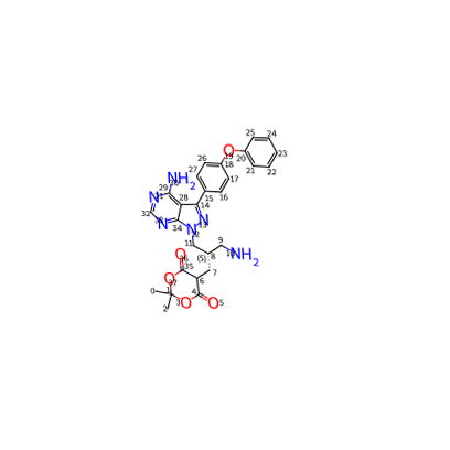 CC1(C)OC(=O)C(C[C@@H](CN)Cn2nc(-c3ccc(Oc4ccccc4)cc3)c3c(N)ncnc32)C(=O)O1